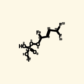 O=P(O)(OF)OOC(F)C=CC(F)F